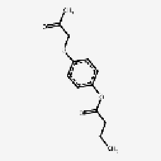 CCCC(=O)Oc1ccc(OCC(C)=O)cc1